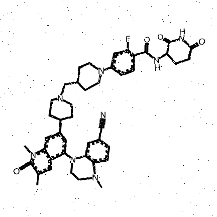 Cc1cc2c(N3CCN(C)c4ccc(C#N)cc43)cc(C3CCN(CC4CCN(c5ccc(C(=O)NC6CCC(=O)NC6=O)c(F)c5)CC4)CC3)cc2n(C)c1=O